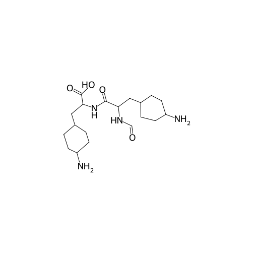 NC1CCC(CC(NC(=O)C(CC2CCC(N)CC2)NC=O)C(=O)O)CC1